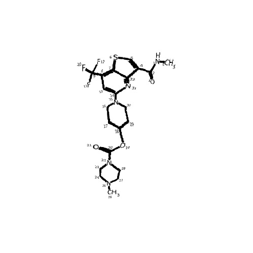 CNC(=O)c1csc2c(C(F)(F)F)cc(N3CCC(OC(=O)N4CCN(C)CC4)CC3)nc12